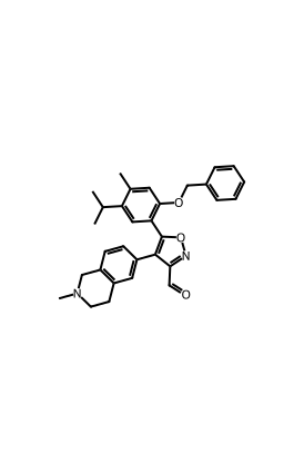 Cc1cc(OCc2ccccc2)c(-c2onc(C=O)c2-c2ccc3c(c2)CCN(C)C3)cc1C(C)C